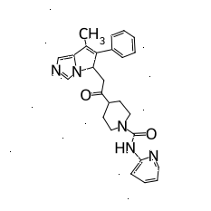 CC1=C(c2ccccc2)C(CC(=O)C2CCN(C(=O)Nc3ccccn3)CC2)n2cncc21